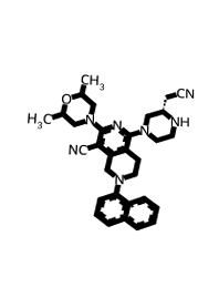 CC1CN(c2nc(N3CCN[C@@H](CC#N)C3)c3c(c2C#N)CN(c2cccc4ccccc24)CC3)CC(C)O1